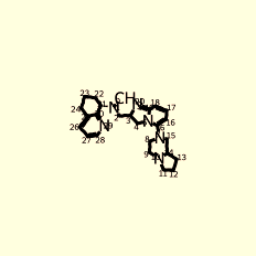 CN(CC1CN2C(N3CCN4CCCC4C3)=CC=CC2=N1)[C@H]1CCCc2cccnc21